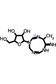 CC1/N=C\N(C2OC(CO)C(O)C2O)C/N=C\NC1=N